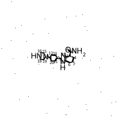 NC(=O)c1cccc2[nH]c(-c3ccc(N4CCNCC4)cc3)nc12